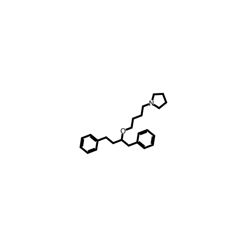 c1ccc(CCC(Cc2ccccc2)OCCCCN2CCCC2)cc1